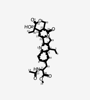 CCc1c2c(nc3ccc(CC(NC(C)=O)C(=O)OC)cc13)-c1cc3c(c(=O)n1C2)COC(=O)[C@]3(O)CC